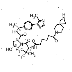 Cc1ncsc1-c1ccc([C@H](C)NC(=O)[C@@H]2C[C@@H](O)CN2C(=O)[C@@H](NC(=O)CCCCC(=O)N2CCC3(CC2)CNC3)C(C)(C)C)cc1